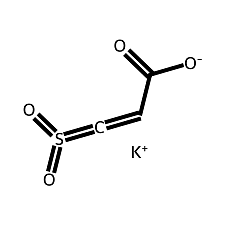 O=C([O-])C=C=S(=O)=O.[K+]